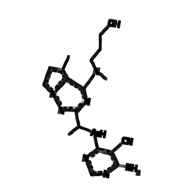 Cc1ccn2nc(C(C)[AsH]c3ncnc(N)c3C#N)nc(N(C)CCCO)c12